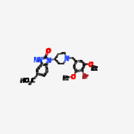 CCOc1cc(CN2CCC(n3c(=O)[nH]c4cc(C(=O)O)ccc43)CC2)cc(OCC)c1Br